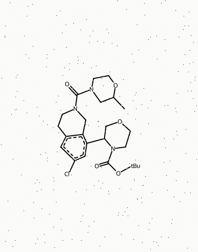 CC1CN(C(=O)N2CCc3cc(Cl)cc(C4COCCN4C(=O)OC(C)(C)C)c3C2)CCO1